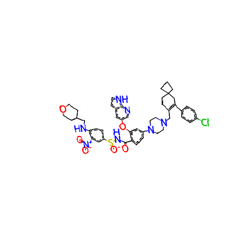 O=C(N[S+]([O-])c1ccc(NCC2CCOCC2)c([N+](=O)[O-])c1)c1ccc(N2CCN(CC3=C(c4ccc(Cl)cc4)CC4(CCC4)CC3)CC2)cc1Oc1cnc2[nH]ccc2c1